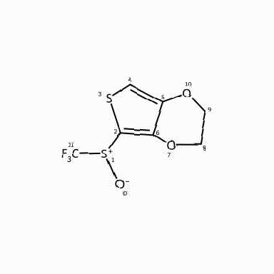 [O-][S+](c1scc2c1OCCO2)C(F)(F)F